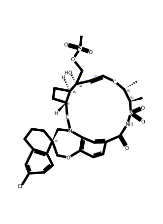 C[C@@H]1[C@@H](C)C/C=C/[C@](O)(COS(C)(=O)=O)[C@@H]2CC[C@H]2CN2C[C@@]3(CCCc4cc(Cl)ccc43)COc3ccc(cc32)C(=O)NS1(=O)=O